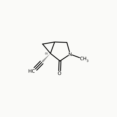 C#C[C@]12CC1CN(C)C2=O